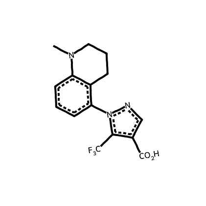 CN1CCCc2c1cccc2-n1ncc(C(=O)O)c1C(F)(F)F